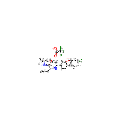 CC(C)C[C@H](N[C@@H](c1ccc2c(c1)oc1cc(F)ccc12)C(F)(F)F)C(=O)NC1(C#N)CC1.O=C(O)C(F)(F)F